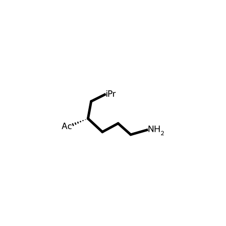 CC(=O)[C@@H](CCCN)CC(C)C